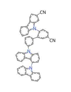 N#Cc1ccc(-n2c3ccccc3c3ccc(C#N)cc32)c(-c2cccc(-n3c4ccccc4c4c(-n5c6ccccc6c6ccccc65)cccc43)c2)c1